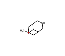 CCC1C2CNCC1COC2